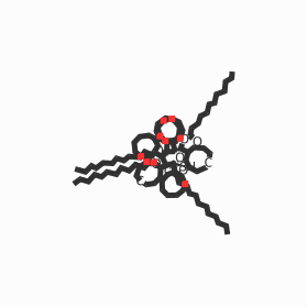 CCCCCCCCCCCC(=O)OC(C1CCCCCCCC1)[C@@]1(C2CCCCCCCC2)O[C@](S)(C2CCCCCCCC2)[C@@](OC(=O)CCCCCCCCCCC)(C2CCCCCCCC2)[C@](OC(=O)CCCCCCCCCCC)(C2CCCCCCCC2)[C@]1(OC(=O)CCCCCCCCCCC)C1CCCCCCCC1